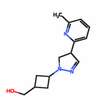 Cc1cccc(C2C=NN(C3CC(CO)C3)C2)n1